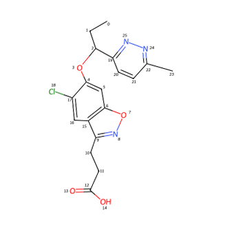 CCC(Oc1cc2onc(CCC(=O)O)c2cc1Cl)c1ccc(C)nn1